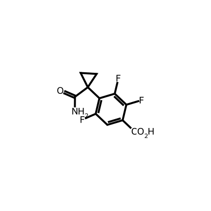 NC(=O)C1(c2c(F)cc(C(=O)O)c(F)c2F)CC1